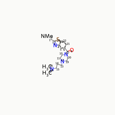 CNCc1nc2cc(C(=O)N3CCN(CCCN(C)C)CC3)ccc2s1